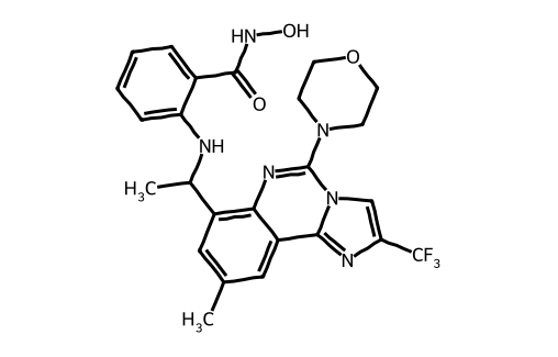 Cc1cc(C(C)Nc2ccccc2C(=O)NO)c2nc(N3CCOCC3)n3cc(C(F)(F)F)nc3c2c1